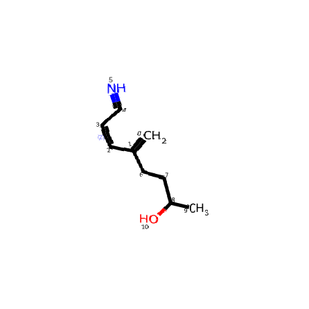 C=C(/C=C\C=N)CCC(C)O